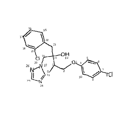 CC(COc1ccc(Cl)cc1)C(O)(Cc1ccccc1Cl)Cn1cncn1